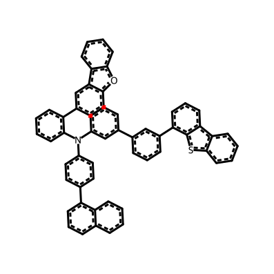 c1cc(-c2cccc(N(c3ccc(-c4cccc5ccccc45)cc3)c3ccccc3-c3ccc4oc5ccccc5c4c3)c2)cc(-c2cccc3c2sc2ccccc23)c1